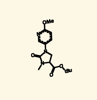 COc1ccc(N2CC(C(=O)OC(C)(C)C)N(C)C2=O)cn1